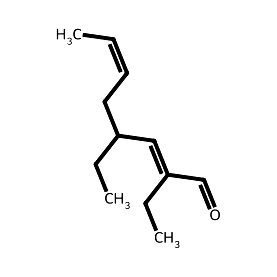 C/C=C\CC(/C=C(/C=O)CC)CC